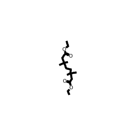 CCOC(=O)CC(C)(C)CCC(C)(C)CC(=O)OCC